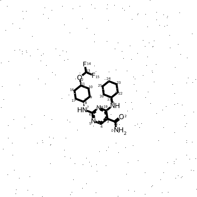 NC(=O)c1cnc(N[C@H]2CC[C@H](OC(F)F)CC2)nc1NC1CCCCC1